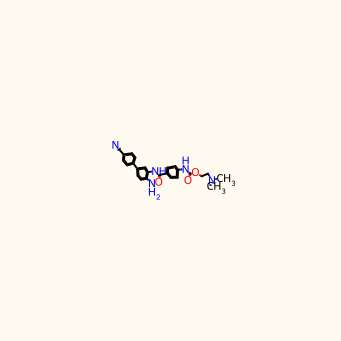 CN(C)CCOC(=O)Nc1ccc(C(=O)Nc2cc(-c3ccc(C#N)cc3)ccc2N)cc1